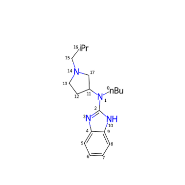 CCCCN(c1nc2ccccc2[nH]1)C1CCN(CC(C)C)C1